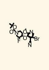 COc1ncc(Br)c(C#N)c1O[C@@H]1CCN(C(=O)OC(C)(C)C)C[C@@H]1F